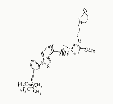 C=S(C)(C)(C)C#Cc1cccc(-n2ncc3c(NCc4ccc(OC)c(OCCCN5CCOCC5)c4)ncnc32)c1